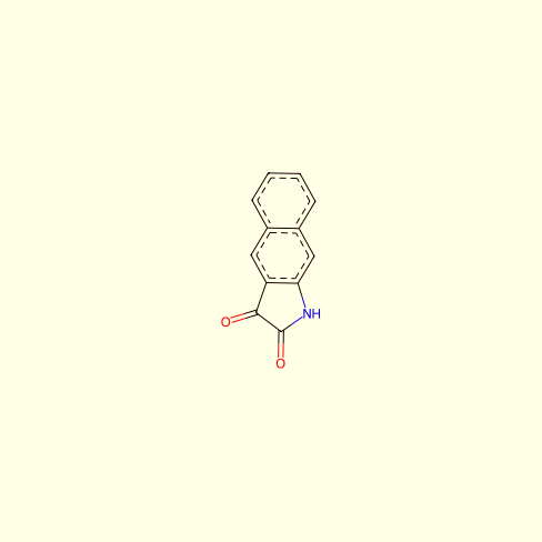 O=C1Nc2cc3ccccc3cc2C1=O